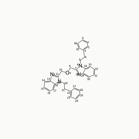 c1ccc(CCn2c(COCc3nc4ccccc4n3CCc3ccccc3)nc3ccccc32)cc1